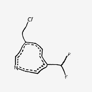 FC(F)c1cncc(CCl)c1